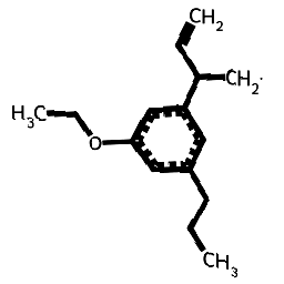 [CH2]C(C=C)c1cc(CCC)cc(OCC)c1